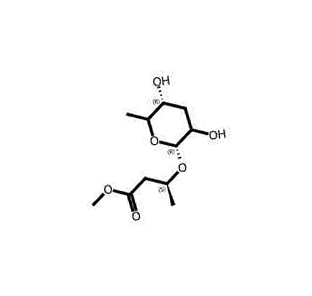 COC(=O)C[C@H](C)O[C@@H]1OC(C)[C@H](O)CC1O